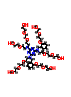 OCCOCCOCCN(CCOCCO)c1nc(N(CCOCCOCCO)Cc2ccccc2OCCOCCO)nc(N(CCOCCOCCO)Cc2ccccc2OCCOCCO)n1